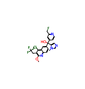 COc1nc2ccc(C(O)(c3ccnc(CF)c3)c3cncn3C)cc2c(Cl)c1CC(F)(F)F